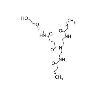 CSCC(=O)NCCN(CCNC(=O)CSC)C(=O)CCC(=O)NCCOCCO